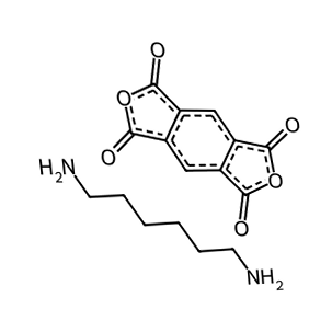 NCCCCCCN.O=c1oc(=O)c2cc3c(=O)oc(=O)c3cc12